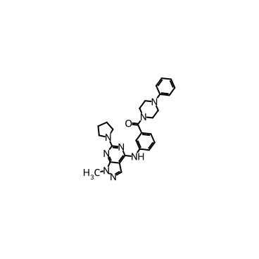 Cn1ncc2c(Nc3cccc(C(=O)N4CCN(c5ccccc5)CC4)c3)nc(N3CCCC3)nc21